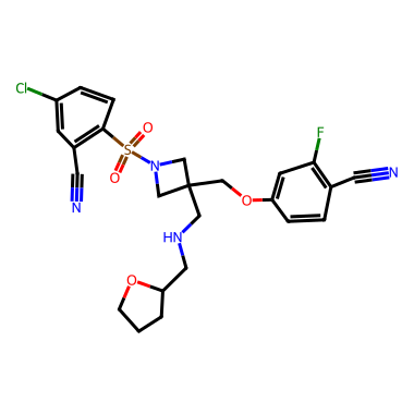 N#Cc1ccc(OCC2(CNCC3CCCO3)CN(S(=O)(=O)c3ccc(Cl)cc3C#N)C2)cc1F